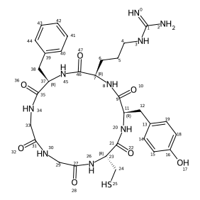 N=C(N)NCCC[C@H]1NC(=O)[C@@H](Cc2ccc(O)cc2)NC(=O)[C@H](CS)NC(=O)CNC(=O)CNC(=O)[C@@H](Cc2ccccc2)NC1=O